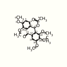 COc1ccc(C(OC(C)=O)c2c(C=O)cc(OC)c(OC)c2OC)cc1OC